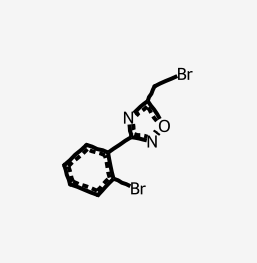 BrCc1nc(-c2ccccc2Br)no1